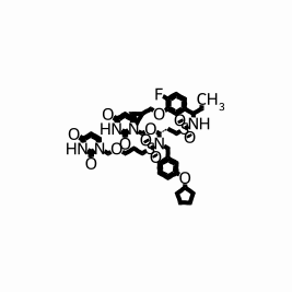 CCC(NS(=O)(=O)CC[C@@H](OCn1ccc(=O)[nH]c1=O)N(Cc1cccc(OC2CCCC2)c1)S(=O)(=O)CCCOCn1ccc(=O)[nH]c1=O)c1ccc(F)c(OCC2CC2)c1